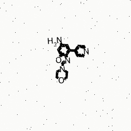 Nc1cc(-c2ccncc2)c2nc(N3CCOCC3)oc2c1